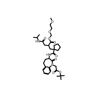 COCCOCOC(=O)C(CC(=O)NC(C)C)CC1(C(=O)NC2CCc3ccccc3N(CC(=O)OC(C)(C)C)C2=O)CCCC1